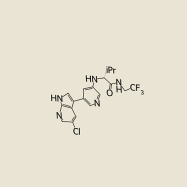 CC(C)[C@@H](Nc1cncc(-c2c[nH]c3ncc(Cl)cc23)c1)C(=O)NCC(F)(F)F